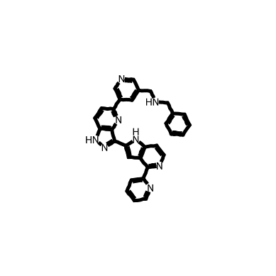 c1ccc(CNCc2cncc(-c3ccc4[nH]nc(-c5cc6c(-c7ccccn7)nccc6[nH]5)c4n3)c2)cc1